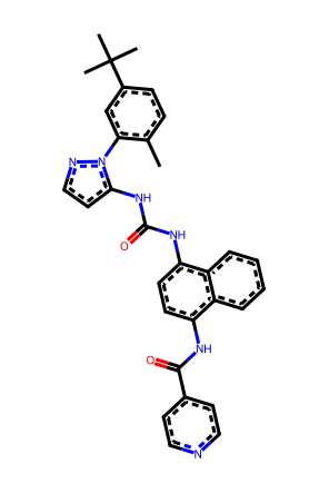 Cc1ccc(C(C)(C)C)cc1-n1nccc1NC(=O)Nc1ccc(NC(=O)c2ccncc2)c2ccccc12